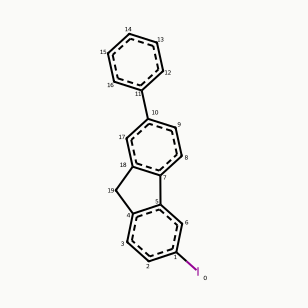 Ic1ccc2c(c1)-c1ccc(-c3ccccc3)cc1C2